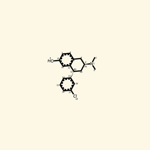 CN(C)[C@@H]1Cc2ccc(O)cc2[C@@H](c2cccc(Cl)c2)C1